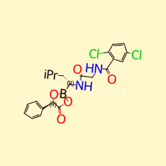 CC(C)C[C@H](NC(=O)CNC(=O)c1cc(Cl)ccc1Cl)B1OC(=O)[C@@H](c2ccccc2)O1